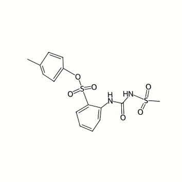 Cc1ccc(OS(=O)(=O)c2ccccc2NC(=O)NS(C)(=O)=O)cc1